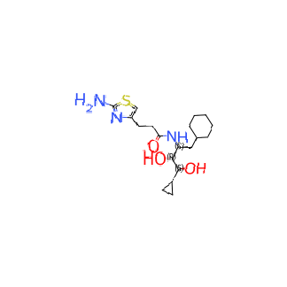 Nc1nc(CCC(=O)N[C@@H](CC2CCCCC2)[C@@H](O)[C@@H](O)C2CC2)cs1